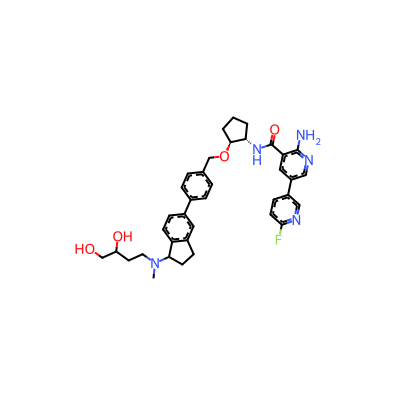 CN(CCC(O)CO)C1CCc2cc(-c3ccc(CO[C@H]4CCC[C@@H]4NC(=O)c4cc(-c5ccc(F)nc5)cnc4N)cc3)ccc21